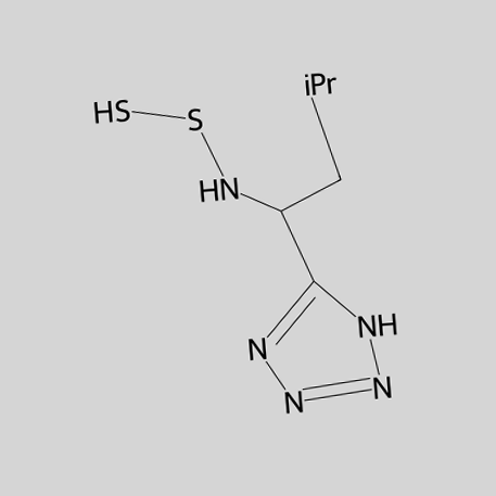 CC(C)CC(NSS)c1nnn[nH]1